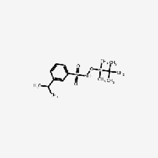 CC(C)c1cccc(S(=O)(=O)NO[Si](C)(C)C(C)(C)C)c1